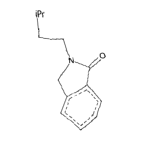 CC(C)CCN1Cc2ccccc2C1=O